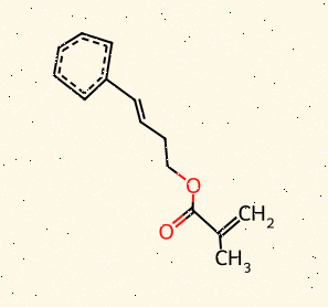 C=C(C)C(=O)OCCC=Cc1ccccc1